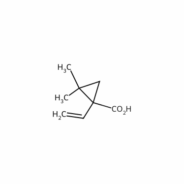 C=CC1(C(=O)O)CC1(C)C